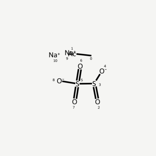 CC(C)=O.O=S([O-])S(=O)(=O)[O-].[Na+].[Na+]